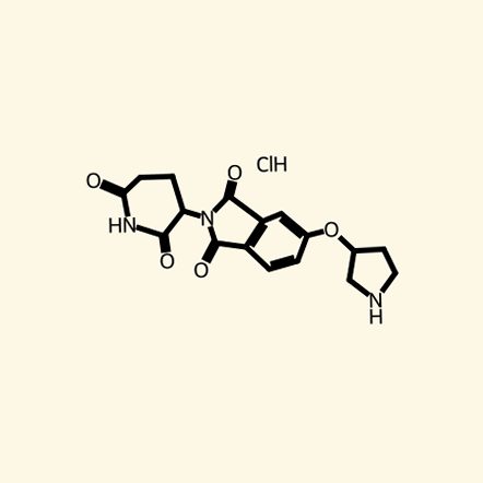 Cl.O=C1CCC(N2C(=O)c3ccc(OC4CCNC4)cc3C2=O)C(=O)N1